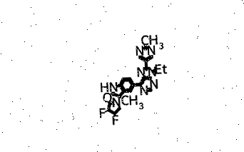 CCn1c(-c2cnc(C)nc2)nc2c(-c3ccc4c(c3)[C@](C)(N3C[C@@H](F)[C@H](F)C3)C(=O)N4)ncnc21